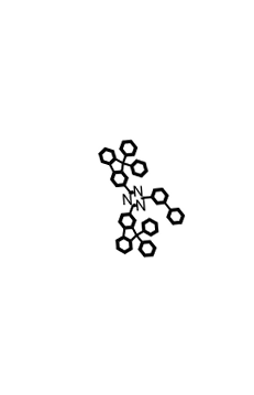 c1ccc(-c2cccc(-c3nc(-c4ccc5c(c4)C(c4ccccc4)(c4ccccc4)c4ccccc4-5)nc(-c4ccc5c(c4)C(c4ccccc4)(c4ccccc4)c4ccccc4-5)n3)c2)cc1